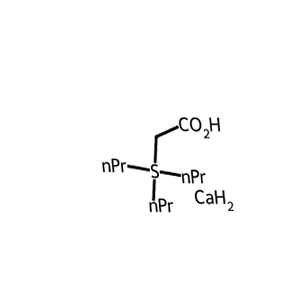 CCCS(CCC)(CCC)CC(=O)O.[CaH2]